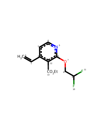 C=Cc1ccnc(OCC(F)F)c1C(=O)OCC